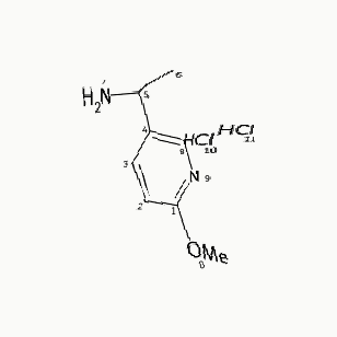 COc1ccc(C(C)N)cn1.Cl.Cl